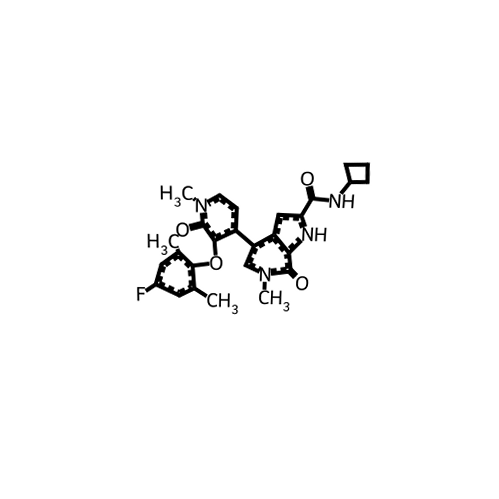 Cc1cc(F)cc(C)c1Oc1c(-c2cn(C)c(=O)c3[nH]c(C(=O)NC4CCC4)cc23)ccn(C)c1=O